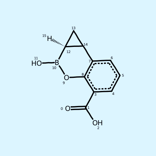 O=C(O)c1cccc2c1OB(O)[C@H]1CC21